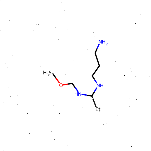 CCC(NCCCN)NCO[SiH3]